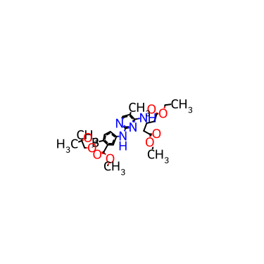 CCOC(=O)CC(CC(=O)OCC)Nc1nc(Nc2ccc(B3OCC(C)(C)O3)c(C(=O)OC)c2)ncc1C